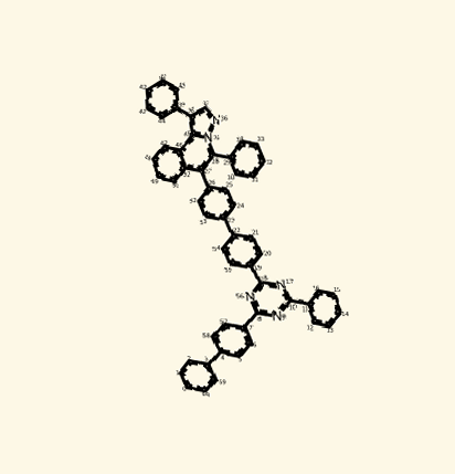 c1ccc(-c2ccc(-c3nc(-c4ccccc4)nc(-c4ccc(-c5ccc(-c6c(-c7ccccc7)n7ncc(-c8ccccc8)c7c7ccccc67)cc5)cc4)n3)cc2)cc1